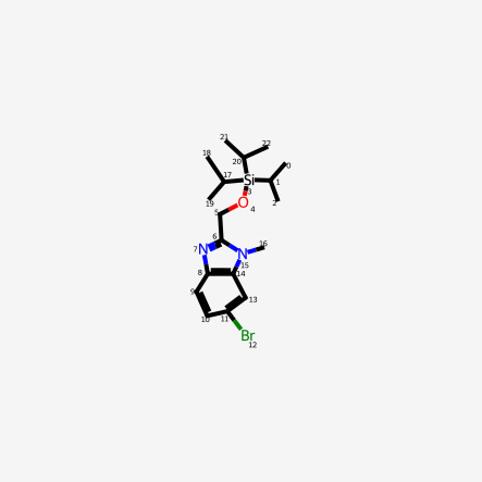 CC(C)[Si](OCc1nc2ccc(Br)cc2n1C)(C(C)C)C(C)C